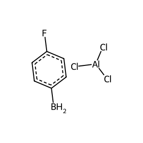 Bc1ccc(F)cc1.[Cl][Al]([Cl])[Cl]